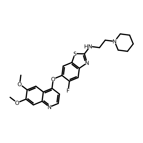 COc1cc2nccc(Oc3cc4sc(NCCN5CCCCC5)nc4cc3F)c2cc1OC